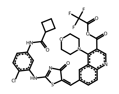 O=C1N=C(Nc2cc(NC(=O)C3CCC3)ccc2Cl)SC1=Cc1ccc2ncc(C(=O)OC(=O)C(F)(F)F)c(N3CCOCC3)c2c1